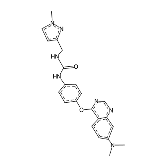 CN(C)c1ccc2c(Oc3ccc(NC(=O)NCc4ccn(C)n4)cc3)ncnc2c1